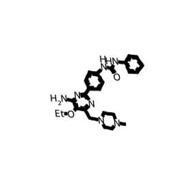 CCOc1c(N)nc(-c2ccc(NC(=O)Nc3ccccc3)cc2)nc1CN1CCN(C)CC1